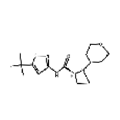 CC(C)(C)c1cc(NC(=O)[C@@H]2CCN2C2CCOCC2)no1